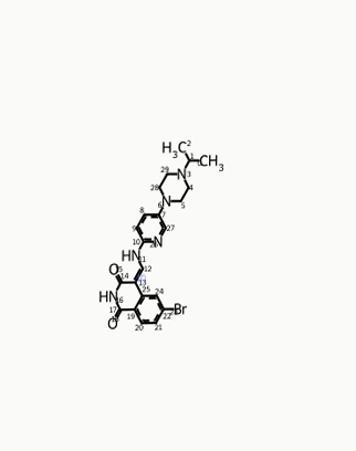 CC(C)N1CCN(c2ccc(N/C=C3\C(=O)NC(=O)c4ccc(Br)cc43)nc2)CC1